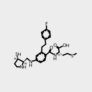 CSCC[C@H](NC(=O)c1ccc(NC[C@H]2NCC[C@H]2S)cc1CCc1ccc(F)cc1)C(=O)O